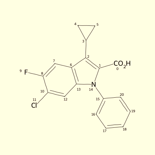 O=C(O)c1c(C2CC2)c2cc(F)c(Cl)cc2n1-c1ccccc1